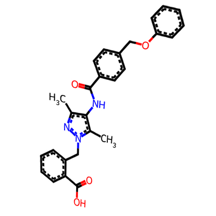 Cc1nn(Cc2ccccc2C(=O)O)c(C)c1NC(=O)c1ccc(COc2ccccc2)cc1